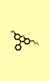 CCc1ccc2c(-c3ccccc3)c3ccc(=N)cc-3oc2c1